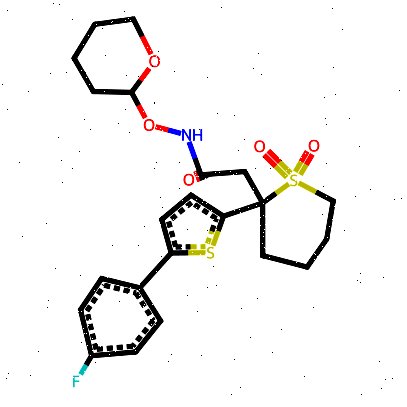 O=C(CC1(c2ccc(-c3ccc(F)cc3)s2)CCCCS1(=O)=O)NOC1CCCCO1